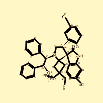 O=CO[C@@H](c1ccccc1)[C@@H](c1ccccc1)N1C[C@H](c2cccc(Cl)c2)[C@@]2(C(=O)Nc3cc(Cl)ccc32)C12CC(CF)(CF)C2